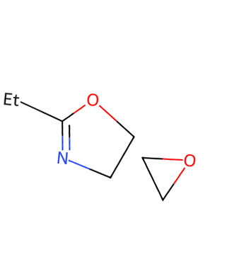 C1CO1.CCC1=NCCO1